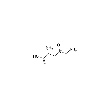 NC[S+]([O-])CC(N)C(=O)O